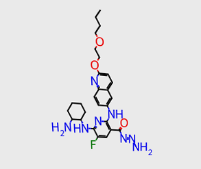 CCCCOCCOc1ccc2cc(Nc3nc(N[C@@H]4CCCCC4N)c(F)cc3C(=O)N=NN)ccc2n1